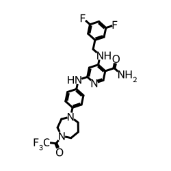 NC(=O)c1cnc(Nc2ccc(N3CCCN(C(=O)C(F)(F)F)CC3)cc2)cc1NCc1cc(F)cc(F)c1